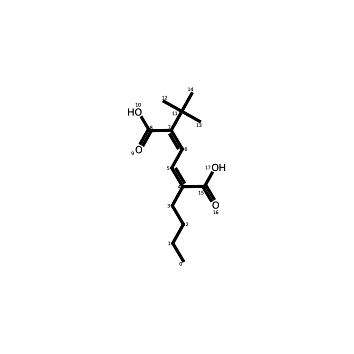 CCCCC(=CC=C(C(=O)O)C(C)(C)C)C(=O)O